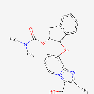 Cc1nc2c(OC3c4ccccc4CC3OC(=O)N(C)C)cccn2c1CO